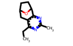 CCc1nc(C)nc2c1CC1CCC2O1